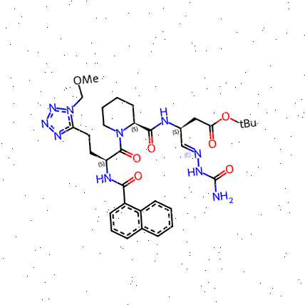 COCn1nnnc1CC[C@H](NC(=O)c1cccc2ccccc12)C(=O)N1CCCC[C@H]1C(=O)N[C@H](/C=N/NC(N)=O)CC(=O)OC(C)(C)C